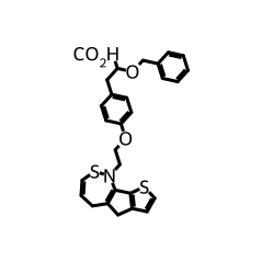 O=C(O)C(Cc1ccc(OCCN2SC=CCC3=C2c2sccc2C3)cc1)OCc1ccccc1